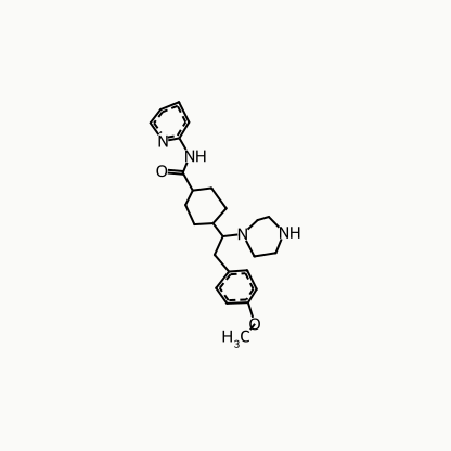 COc1ccc(CC(C2CCC(C(=O)Nc3ccccn3)CC2)N2CCNCC2)cc1